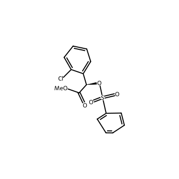 COC(=O)[C@H](OS(=O)(=O)c1ccccc1)c1ccccc1Cl